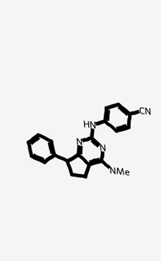 CNc1nc(Nc2ccc(C#N)cc2)nc2c1CCC2c1ccccc1